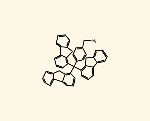 NCc1ccc(C(c2cccc3c2Cc2ccccc2-3)(c2cccc3c2Cc2ccccc2-3)c2cccc3c2Cc2ccccc2-3)cc1